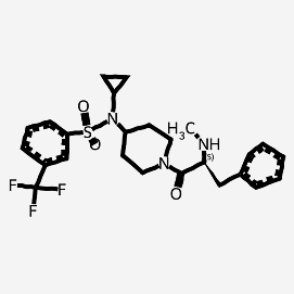 CN[C@@H](Cc1ccccc1)C(=O)N1CCC(N(C2CC2)S(=O)(=O)c2cccc(C(F)(F)F)c2)CC1